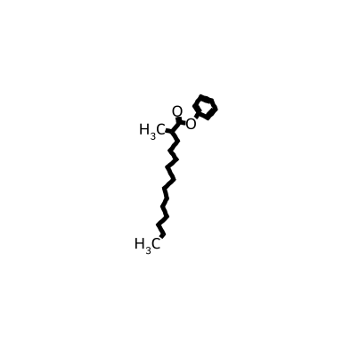 CCCCCCCCCCCCC(C)C(=O)Oc1ccccc1